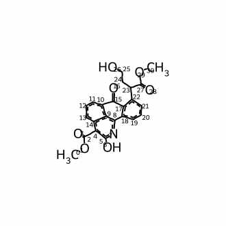 COC(=O)c1c(O)nc2c3c(cccc13)C(=O)c1c-2cccc1C(CCO)C(=O)OC